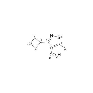 Cc1snc(C2COC2)c1C(=O)O